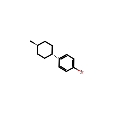 C[C@H]1CC[C@H](c2ccc(Br)cc2)CC1